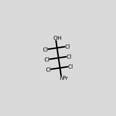 CCCC(Cl)(Cl)C(Cl)(Cl)C(O)(Cl)Cl